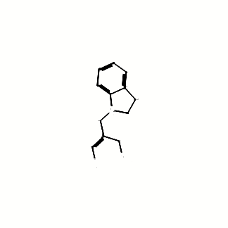 NC/C(=C\F)CN1CCc2ccccc21